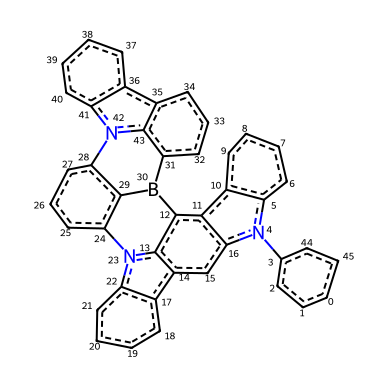 c1ccc(-n2c3ccccc3c3c4c5c(cc32)c2ccccc2n5-c2cccc3c2B4c2cccc4c5ccccc5n-3c24)cc1